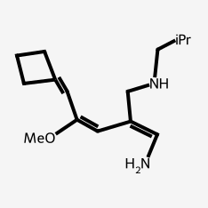 CO/C(C=C1CCC1)=C/C(=C\N)CNCC(C)C